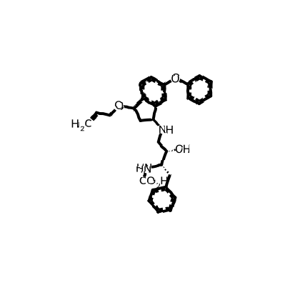 C=CCOC1CC(NC[C@H](O)[C@H](Cc2ccccc2)NC(=O)O)c2cc(Oc3ccccc3)ccc21